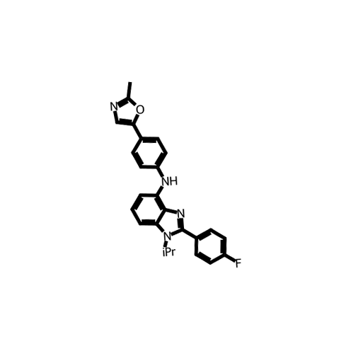 Cc1ncc(-c2ccc(Nc3cccc4c3nc(-c3ccc(F)cc3)n4C(C)C)cc2)o1